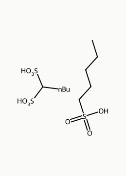 CCCCC(S(=O)(=O)O)S(=O)(=O)O.CCCCCS(=O)(=O)O